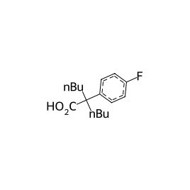 CCCCC(CCCC)(C(=O)O)c1ccc(F)cc1